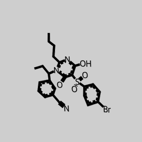 CCCCc1nc(O)c(S(=O)(=O)c2ccc(Br)cc2)c(=O)n1C(CC)c1cccc(C#N)c1